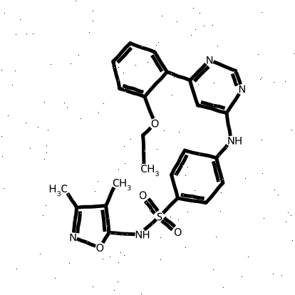 CCOc1ccccc1-c1cc(Nc2ccc(S(=O)(=O)Nc3onc(C)c3C)cc2)ncn1